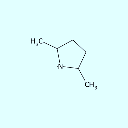 CC1CCC(C)[N]1